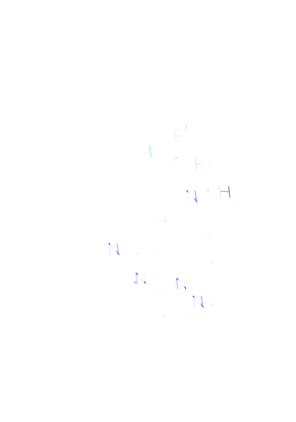 CN(CC(F)(F)F)C1CCC(n2nccc2-n2ccnc2)CC1